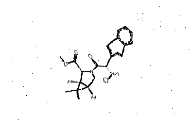 COC(=O)[C@@H]1[C@@H]2[C@H](CN1C(=O)[C@@H](NCl)C1Cc3ccccc3C1)C2(C)C